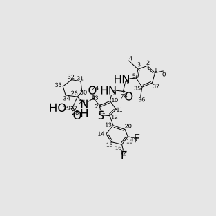 Cc1cc(C)c(NC(=O)Nc2cc(-c3ccc(F)c(F)c3)sc2C(=O)NC2(C(=O)O)CCCCC2)c(C)c1